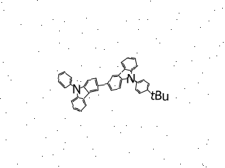 CC(C)(C)c1ccc(-n2c3ccccc3c3cc(-c4ccc5c(c4)c4ccccc4n5-c4ccccc4)ccc32)cc1